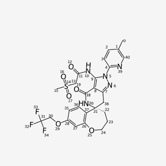 Cc1ccc(-n2nc3c(c2NC(=O)CS(C)(=O)=O)C(=O)N[C@@]2(CCCOc4cc(OCC(F)(F)F)ccc42)C3)nc1